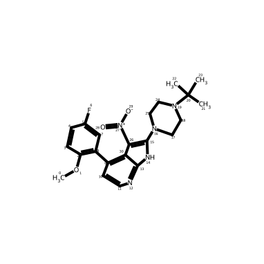 COc1ccc(F)cc1-c1ccnc2[nH]c(N3CCN(C(C)(C)C)CC3)c([N+](=O)[O-])c12